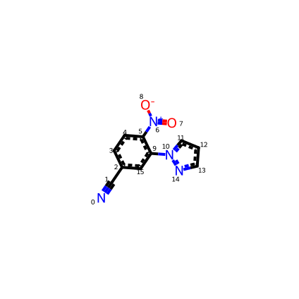 N#Cc1ccc([N+](=O)[O-])c(-n2cccn2)c1